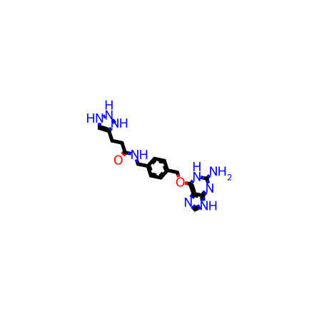 NC1N=c2[nH]cnc2=C(OCc2ccc(CNC(=O)CCC3=CNNN3)cc2)N1